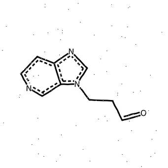 O=CCCn1cnc2ccncc21